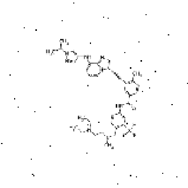 CCN(CC)CCN(C)Cc1ccc(NC(=O)c2ccc(C)c(C#Cc3cnc4c(Nc5cnn(C(C)C)c5)cccn34)c2)cc1C(F)(F)F